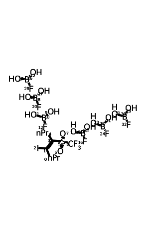 CCCC(I)=C(CCC)S(=O)(=O)C(F)(F)F.OB(O)F.OB(O)F.OB(O)F.OB(O)F.OB(O)F.OB(O)F